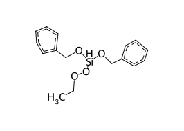 CCOO[SiH](OCc1ccccc1)OCc1ccccc1